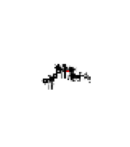 CC(=O)N1CC(c2ccc(NC(=O)Nc3ccccc3)cc2)CC1C(=O)NC(Cc1ccccc1CC(NC(=O)CC(C)(C)C)C(=O)O)C(=O)O